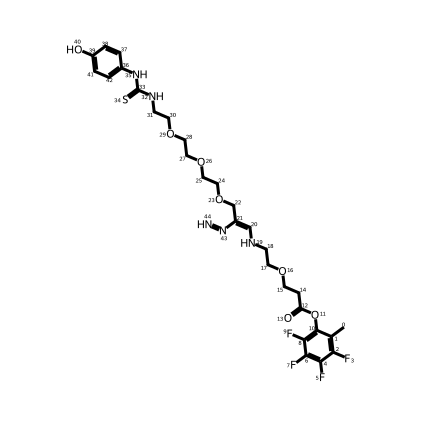 Cc1c(F)c(F)c(F)c(F)c1OC(=O)CCOCCN/C=C(/COCCOCCOCCNC(=S)Nc1ccc(O)cc1)N=N